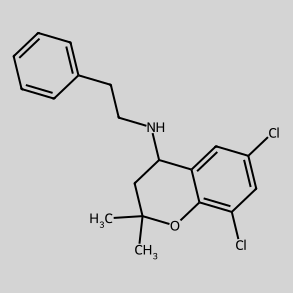 CC1(C)CC(NCCc2ccccc2)c2cc(Cl)cc(Cl)c2O1